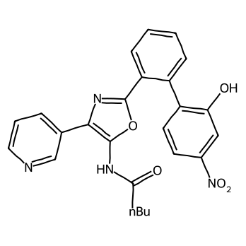 CCCCC(=O)Nc1oc(-c2ccccc2-c2ccc([N+](=O)[O-])cc2O)nc1-c1cccnc1